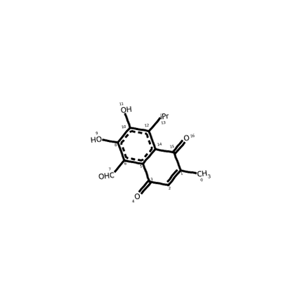 CC1=CC(=O)c2c(C=O)c(O)c(O)c(C(C)C)c2C1=O